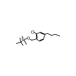 CCCCc1ccc(CO[Si](C)(C)C(C)(C)C)c(Cl)c1